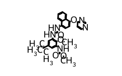 COC(=O)Nc1cc(C(C)(C)C)cc(NC(=O)Nc2ccc(Oc3ccncn3)c3ccccc23)c1OC